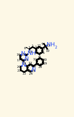 C[C@@H](Cc1cccc(C(C)(C)N)c1)Nc1nccc(N2CCCc3cnc(-c4ccccc4)cc32)n1